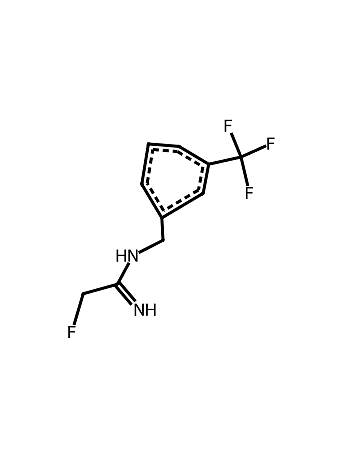 N=C(CF)NCc1cccc(C(F)(F)F)c1